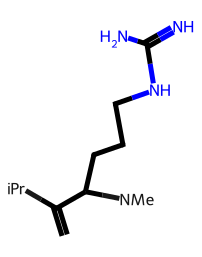 C=C(C(C)C)C(CCCNC(=N)N)NC